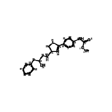 CC(C)OC(=O)Nc1ccc(C2=NC(NCC(O)Cc3ccccc3)CS2)cc1